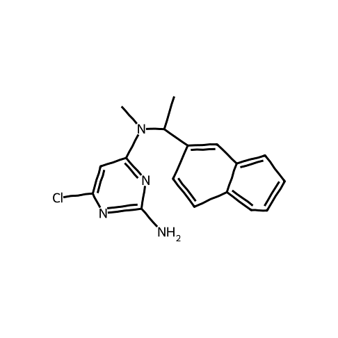 CC(c1ccc2ccccc2c1)N(C)c1cc(Cl)nc(N)n1